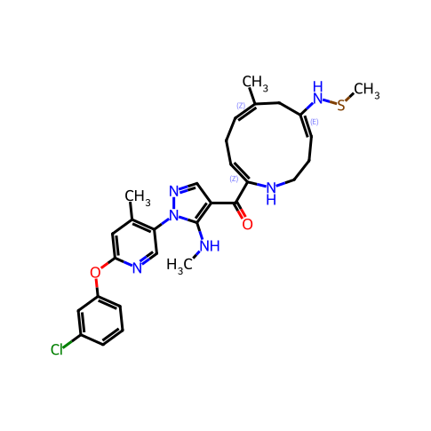 CNc1c(C(=O)/C2=C/C/C=C(/C)C/C(NSC)=C\CCN2)cnn1-c1cnc(Oc2cccc(Cl)c2)cc1C